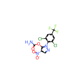 NC(=O)Oc1c([N+](=O)[O-])cnn1-c1c(Cl)cc(C(F)(F)F)cc1Cl